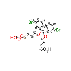 O=S(=O)(O)CCCOC1c2cc(Br)ccc2-c2ccc(Br)cc2C1OCCCSOOO